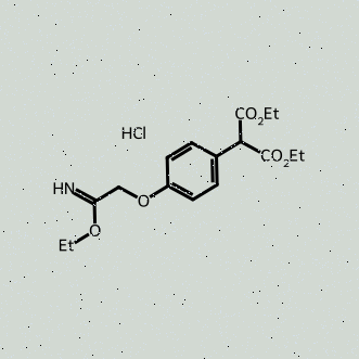 CCOC(=N)COc1ccc(C(C(=O)OCC)C(=O)OCC)cc1.Cl